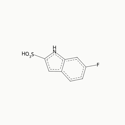 O=S(=O)(O)c1cc2ccc(F)cc2[nH]1